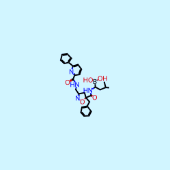 CC(C)CC(NC(=O)C1(Cc2ccccc2)CC(CNC(=O)c2cccc(-c3ccccc3)n2)=NO1)B(O)O